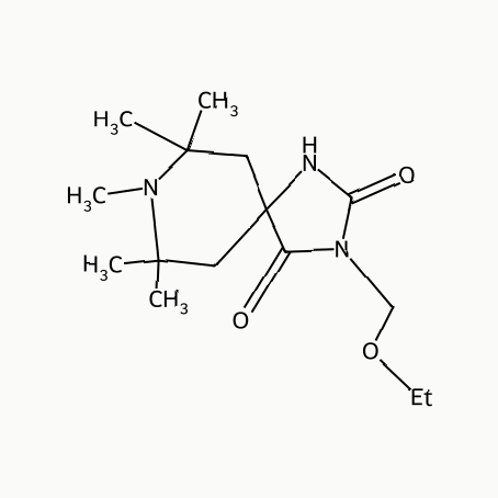 CCOCN1C(=O)NC2(CC(C)(C)N(C)C(C)(C)C2)C1=O